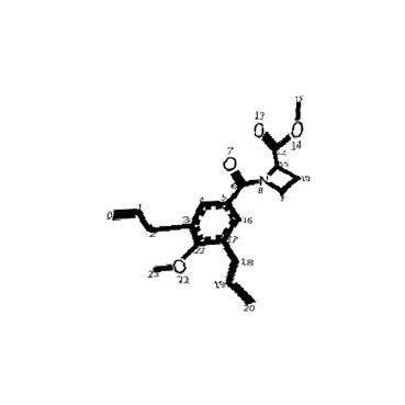 C=CCc1cc(C(=O)N2CCC2C(=O)OC)cc(CC=C)c1OC